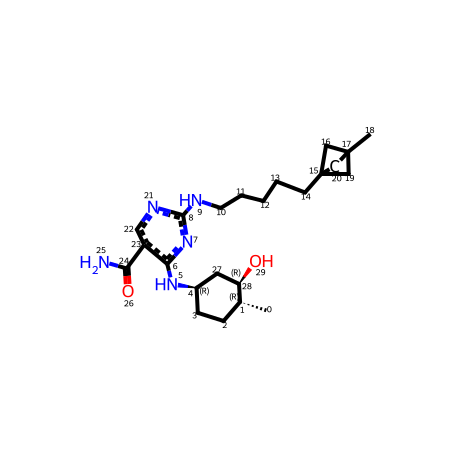 C[C@@H]1CC[C@@H](Nc2nc(NCCCCCC34CC(C)(C3)C4)ncc2C(N)=O)C[C@H]1O